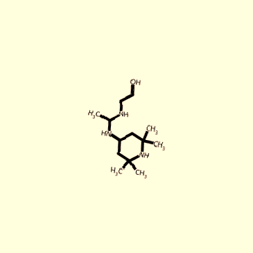 CC(NCCO)NC1CC(C)(C)NC(C)(C)C1